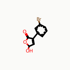 O=C1OC(O)C=C1c1cccc(Br)c1